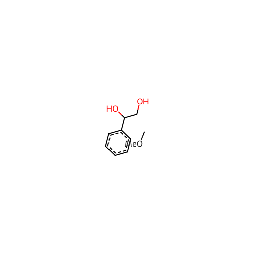 COC.OCC(O)c1ccccc1